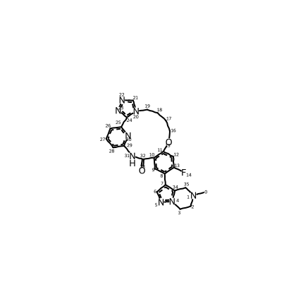 CN1CCn2ncc(-c3cc4c(cc3F)OCCCCn3cnnc3-c3cccc(n3)NC4=O)c2C1